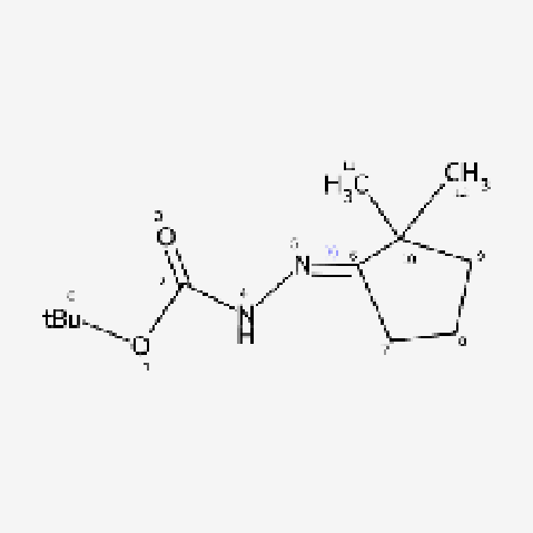 CC(C)(C)OC(=O)N/N=C1\CCCC1(C)C